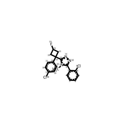 Cn1c(-c2ccccc2Cl)nnc1C1(c2ccc(Cl)cc2)CC(F)C1